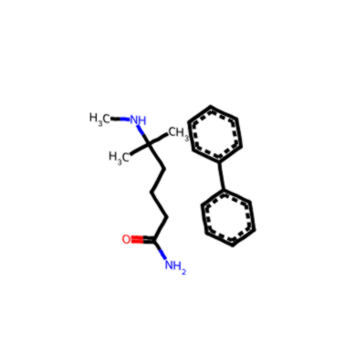 CNC(C)(C)CCCC(N)=O.c1ccc(-c2ccccc2)cc1